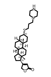 C[C@]12CC[C@H](SCCCN3CCNCC3)C[C@H]1CC[C@@H]1[C@@H]2CC[C@]2(C)[C@@H](C3=CC(=O)OC3)CC[C@@H]12